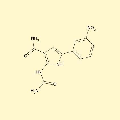 NC(=O)Nc1[nH]c(-c2cccc([N+](=O)[O-])c2)cc1C(N)=O